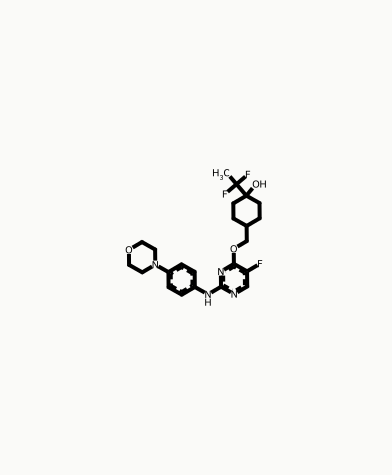 CC(F)(F)C1(O)CCC(COc2nc(Nc3ccc(N4CCOCC4)cc3)ncc2F)CC1